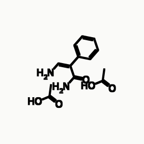 CC(=O)O.CC(=O)O.NC=C(C(N)=O)c1ccccc1